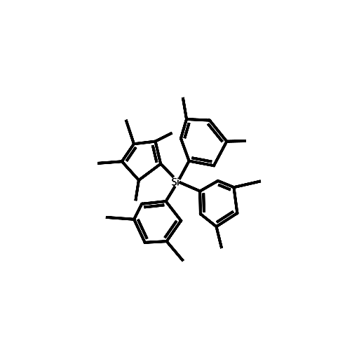 CC1=C(C)C(C)C([Si](c2cc(C)cc(C)c2)(c2cc(C)cc(C)c2)c2cc(C)cc(C)c2)=C1C